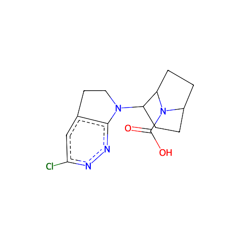 O=C(O)N1C2CCC(N3CCc4cc(Cl)nnc43)C1CC2